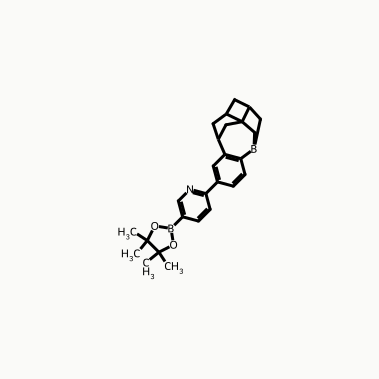 CC1(C)OB(c2ccc(-c3ccc4c(c3)C3CC5CC6CB4CC65C3)nc2)OC1(C)C